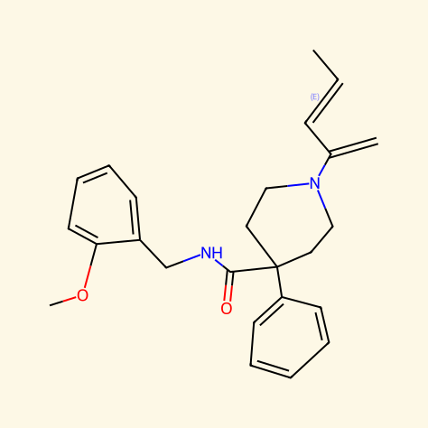 C=C(/C=C/C)N1CCC(C(=O)NCc2ccccc2OC)(c2ccccc2)CC1